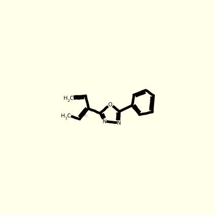 C=C/C(=C\C)c1nnc(-c2ccccc2)o1